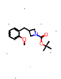 COc1ccccc1CC1CN(C(=O)OC(C)(C)C)C1